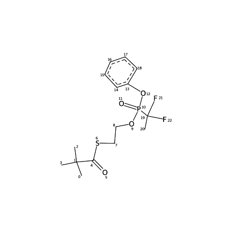 CC(C)(C)C(=O)SCCOP(=O)(Oc1ccccc1)C(C)(F)F